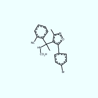 [CH2]C(NC(=O)O)(c1ccccc1C#N)c1c(C)noc1-c1ccc(Br)cc1